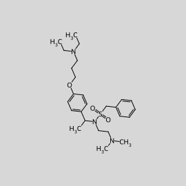 CCN(CC)CCCOc1ccc(C(C)N(CCN(C)C)S(=O)(=O)Cc2ccccc2)cc1